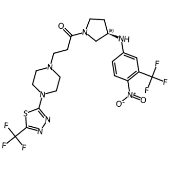 O=C(CCN1CCN(c2nnc(C(F)(F)F)s2)CC1)N1CC[C@@H](Nc2ccc([N+](=O)[O-])c(C(F)(F)F)c2)C1